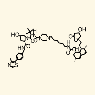 Cc1ncsc1-c1ccc(CNC(=O)[C@@H]2C[C@@H](O)CN2C(=O)[C@@H](NC(=O)N2CCN(CCCCCCNC(=O)O[C@H]3C[C@@H](C)C=C4C=C[C@H](C)[C@H](CC[C@@H]5C[C@@H](O)CC(=O)O5)[C@H]43)CC2)C(C)(C)C)cc1